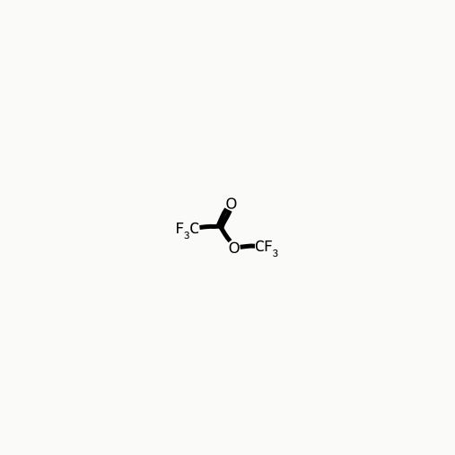 O=C(OC(F)(F)F)C(F)(F)F